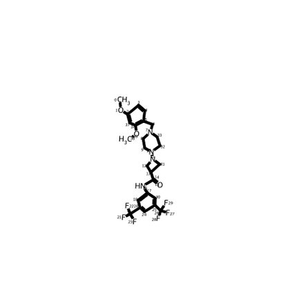 COc1ccc(CN2CCN(N3CC(C(=O)Nc4cc(C(F)(F)F)cc(C(F)(F)F)c4)C3)CC2)c(OC)c1